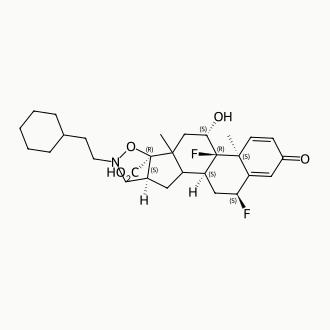 CC12C[C@H](O)[C@@]3(F)[C@@H](C[C@H](F)C4=CC(=O)C=C[C@@]43C)C1C[C@H]1CN(CCC3CCCCC3)O[C@]12C(=O)O